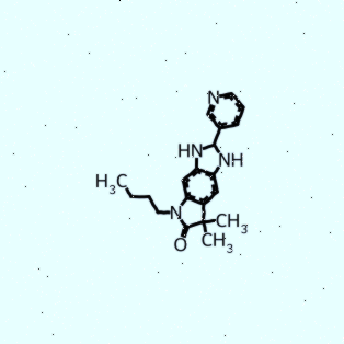 CCCCN1C(=O)C(C)(C)c2cc3c(cc21)NC(c1cccnc1)N3